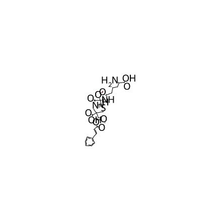 COC(OC(=O)C=Cc1ccccc1)C1(C(=O)O)CS[C@H]2N(C1)C(=O)C2(NC(=O)CCCC(N)C(=O)O)OC